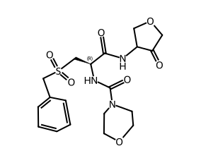 O=C1COCC1NC(=O)[C@H](CS(=O)(=O)Cc1ccccc1)NC(=O)N1CCOCC1